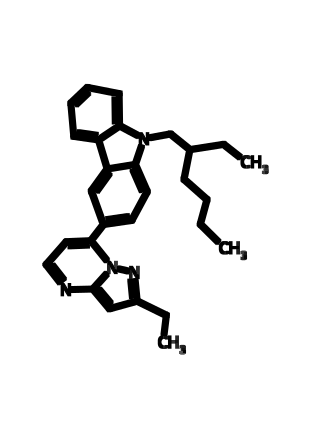 CCCCC(CC)Cn1c2ccccc2c2cc(-c3ccnc4cc(CC)nn34)ccc21